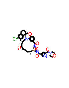 CO[C@H]1/C=C/C[C@H](C)CS(=O)(/C=N/C(=O)c2cc(C(=O)N3CCOCC3)n(C)c2)=NC(=O)c2ccc3c(c2)N(C[C@H](C)[C@H]1C)C[C@@]1(CCCc2cc(Cl)ccc21)CO3